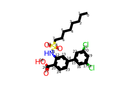 CCCCCCCCS(=O)(=O)Nc1cc(-c2cc(Cl)cc(Cl)c2)ccc1C(=O)O